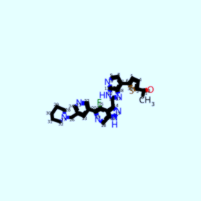 CC(=O)c1ccc(-c2ccnc3[nH]c(-c4n[nH]c5cnc(-c6cncc(CN7CCCCC7)c6)c(F)c45)nc23)s1